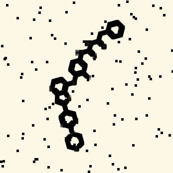 O=C(Cc1ccccc1)NC(=S)Nc1ccc(Oc2ccnc3cc(-c4cnc(N5CCOCC5)nc4)sc23)c(F)c1